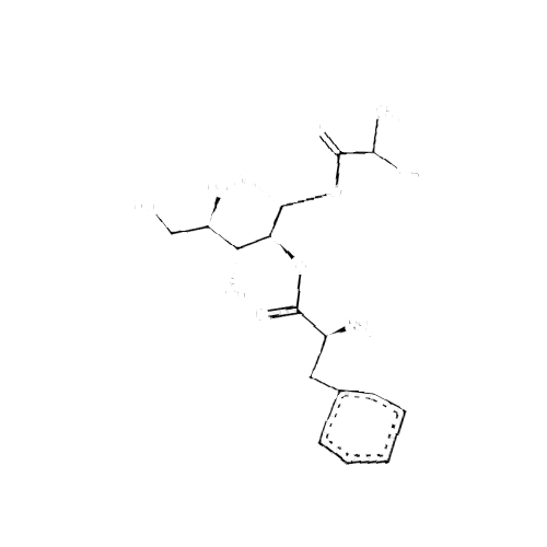 CC(O)C(=O)O[C@@H](C=O)[C@@H](OC(=O)[C@@H](N)Cc1ccccc1)[C@H](O)[C@H](O)CO